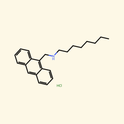 CCCCCCCCNCc1c2ccccc2cc2ccccc12.Cl